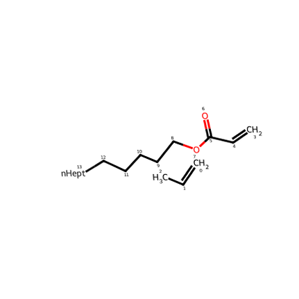 C=CC.C=CC(=O)OCCCCCCCCCCCC